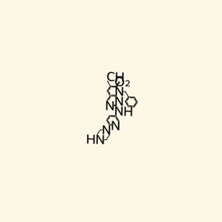 C=Cc1cc2cnc(Nc3ccc(N4CCNCC4)nc3)nc2n(Cc2ccccc2)c1=O